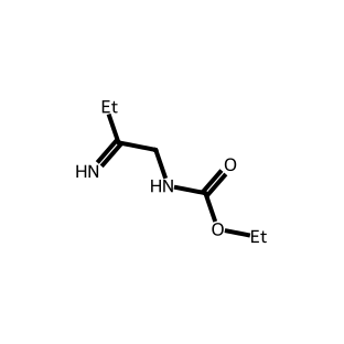 CCOC(=O)NCC(=N)CC